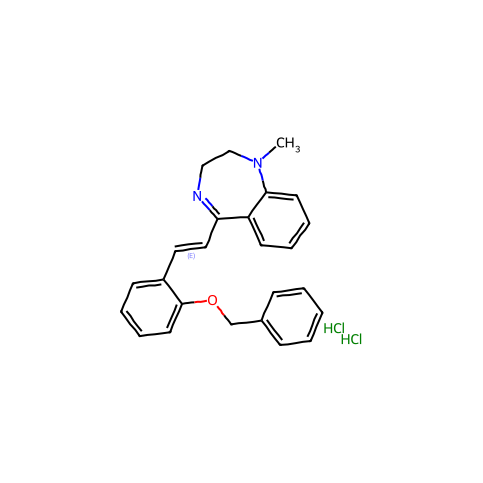 CN1CCN=C(/C=C/c2ccccc2OCc2ccccc2)c2ccccc21.Cl.Cl